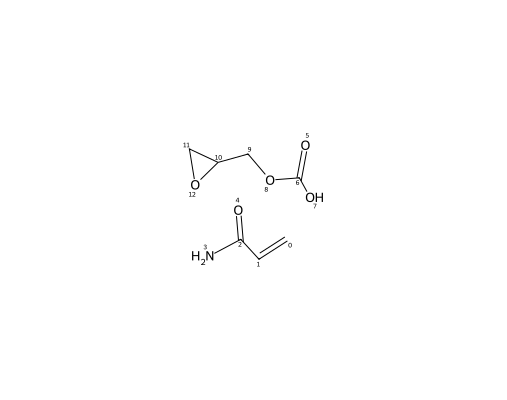 C=CC(N)=O.O=C(O)OCC1CO1